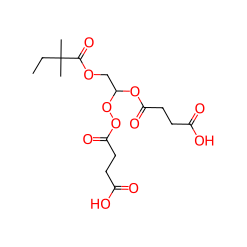 CCC(C)(C)C(=O)OCC(OOC(=O)CCC(=O)O)OC(=O)CCC(=O)O